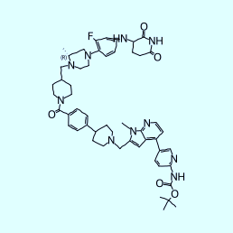 C[C@@H]1CN(c2ccc(NC3CCC(=O)NC3=O)cc2F)CCN1CC1CCN(C(=O)c2ccc(C3CCN(Cc4cc5c(-c6ccc(NC(=O)OC(C)(C)C)nc6)ccnc5n4C)CC3)cc2)CC1